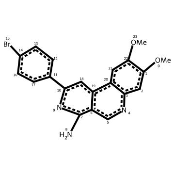 COc1cc2ncc3c(N)nc(-c4ccc(Br)cc4)cc3c2cc1OC